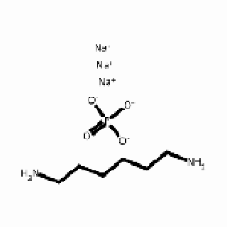 NCCCCCCN.O=P([O-])([O-])[O-].[Na+].[Na+].[Na+]